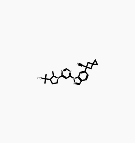 CC1C(C(C)(C)O)CCN1c1cc(-n2ncc3ccc(C4(C#N)CC5(CC5)C4)cc32)ncn1